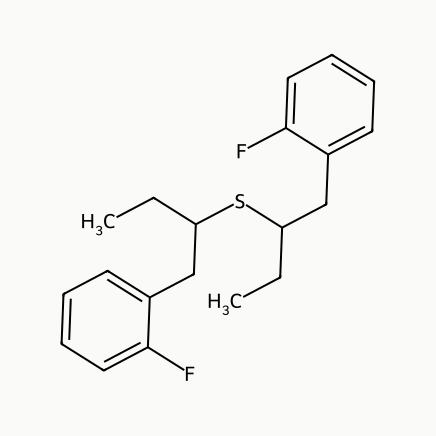 CCC(Cc1ccccc1F)SC(CC)Cc1ccccc1F